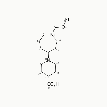 CCOCN1CCCC(N2CCC(C(=O)O)CC2)CC1